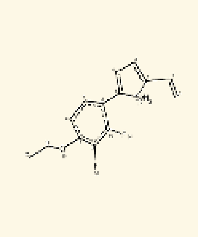 C=CC1=CC=C(c2ccc(OCC)c(F)c2F)[SeH2]1